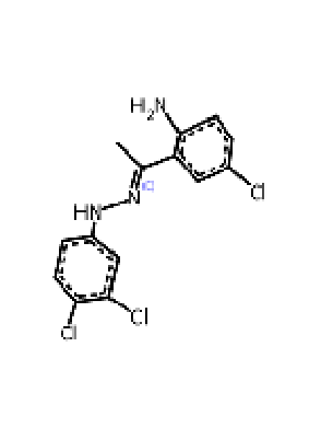 C/C(=N\Nc1ccc(Cl)c(Cl)c1)c1cc(Cl)ccc1N